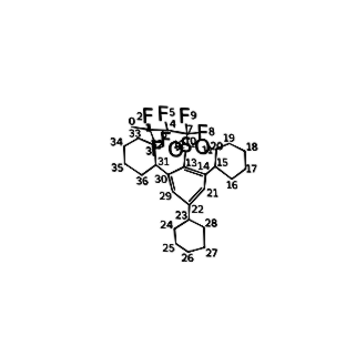 CC(F)(F)C(F)(F)C(F)(F)S(=O)(=O)c1c(C2CCCCC2)cc(C2CCCCC2)cc1C1CCCCC1